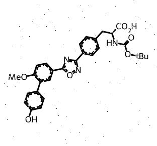 COc1ccc(-c2nc(-c3ccc(C[C@H](NC(=O)OC(C)(C)C)C(=O)O)cc3)no2)cc1-c1ccc(O)cc1